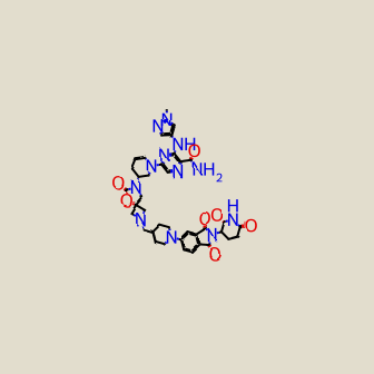 Cn1cc(Nc2nc(N3CCC[C@@H](N4CC5(CN(CC6CCN(c7ccc8c(c7)C(=O)N(C7CCC(=O)NC7=O)C8=O)CC6)C5)OC4=O)C3)cnc2C(N)=O)cn1